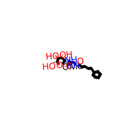 CO[C@@H]1O[C@H](CO)[C@@H](O)[C@H](O)[C@H]1NC(=O)CNC(=O)/C=C/C=C/c1ccccc1